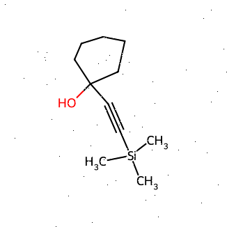 C[Si](C)(C)C#CC1(O)CCCCC1